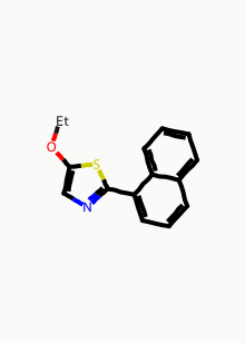 CCOc1cnc(-c2cccc3ccccc23)s1